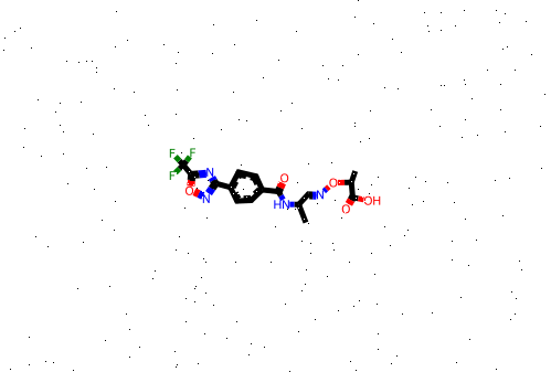 CC(C=NOC(C)C(=O)O)NC(=O)c1ccc(-c2noc(C(F)(F)F)n2)cc1